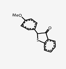 COc1ccc(C2Sc3ccccc3C2=O)cc1